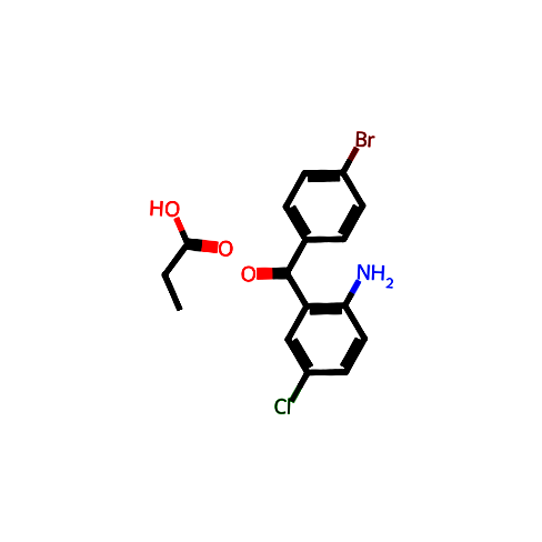 CCC(=O)O.Nc1ccc(Cl)cc1C(=O)c1ccc(Br)cc1